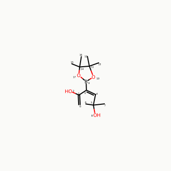 C=C(O)/C(=C\C(C)(C)O)B1OC(C)(C)C(C)(C)O1